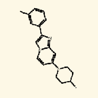 Cc1cccc(-c2cn3ccc(N4CCC(F)CC4)cc3n2)c1